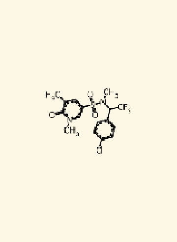 Cc1cc(S(=O)(=O)N(C)C(c2ccc(Cl)cc2)C(F)(F)F)cn(C)c1=O